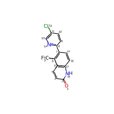 O=c1ccc2c(C(F)(F)F)c(-c3ccc(Cl)cn3)ccc2[nH]1